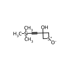 C[Si](C)(C)C#CC1(O)C[S+]([O-])C1